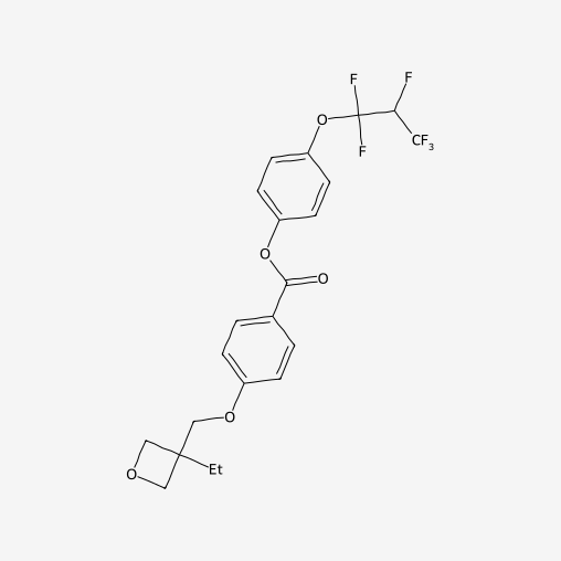 CCC1(COc2ccc(C(=O)Oc3ccc(OC(F)(F)C(F)C(F)(F)F)cc3)cc2)COC1